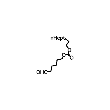 CCCCCCCCCOC(=O)OCCCCCC=O